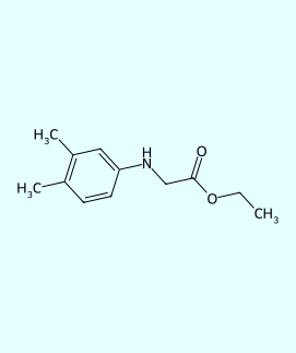 CCOC(=O)CNc1ccc(C)c(C)c1